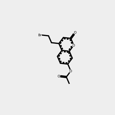 CC(=O)Oc1ccc2c(CCBr)cc(=O)oc2c1